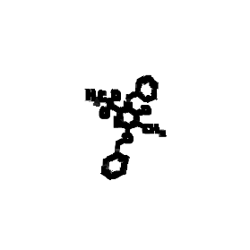 Cc1c(OCc2ccccc2)nc(S(C)(=O)=O)n(Cc2ccccc2)c1=O